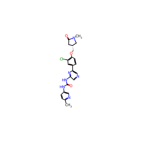 Cc1ccc(NC(=O)Nc2cncc(-c3ccc(OC[C@@H]4CC(=O)N(C)C4)c(Cl)c3)n2)cn1